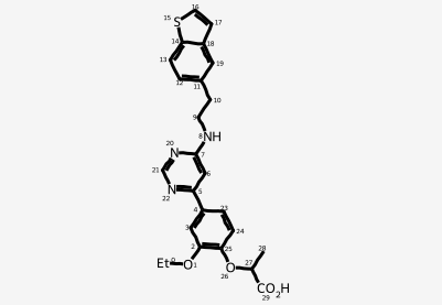 CCOc1cc(-c2cc(NCCc3ccc4sccc4c3)ncn2)ccc1OC(C)C(=O)O